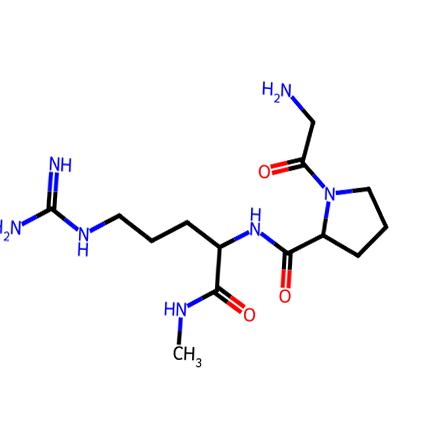 CNC(=O)C(CCCNC(=N)N)NC(=O)C1CCCN1C(=O)CN